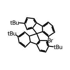 CC(C)(C)C1=CC2C(C=C1)c1ccc(C(C)(C)C)cc1C21c2cc(C(C)(C)C)ccc2-c2cccc(Br)c21